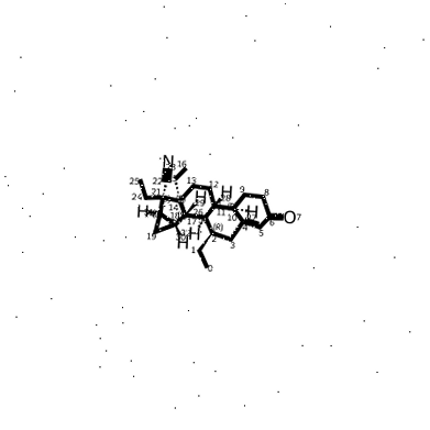 CC[C@@H]1CC2=CC(=O)CC[C@@H]2[C@H]2CC[C@@]3(CC)[C@@H]([C@@H]4C[C@@H]4[C@@]3(C#N)CC)[C@H]12